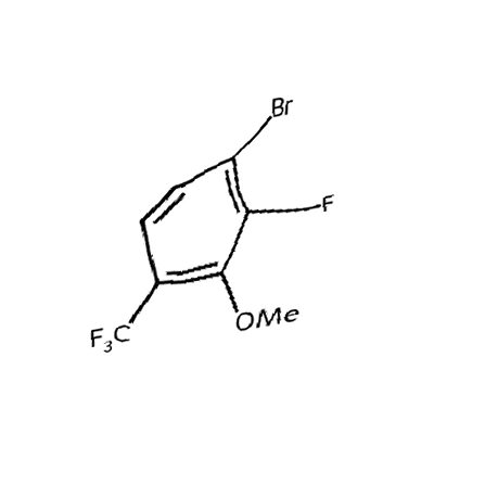 COc1c(C(F)(F)F)ccc(Br)c1F